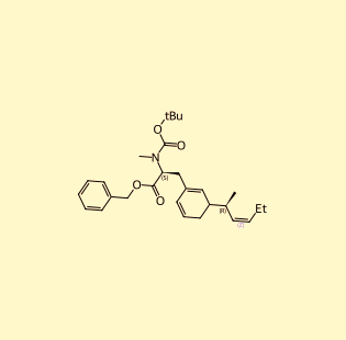 CC/C=C\[C@H](C)C1C=C(C[C@@H](C(=O)OCc2ccccc2)N(C)C(=O)OC(C)(C)C)C=CC1